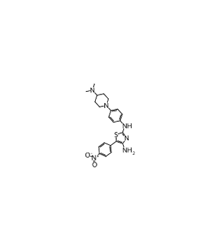 CN(C)C1CCN(c2ccc(Nc3nc(N)c(-c4ccc([N+](=O)[O-])cc4)s3)cc2)CC1